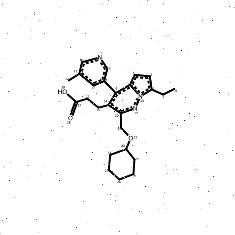 CCc1ccc2c(-c3cncc(C)c3)c(CCC(=O)O)c(COC3CCCCC3)nn12